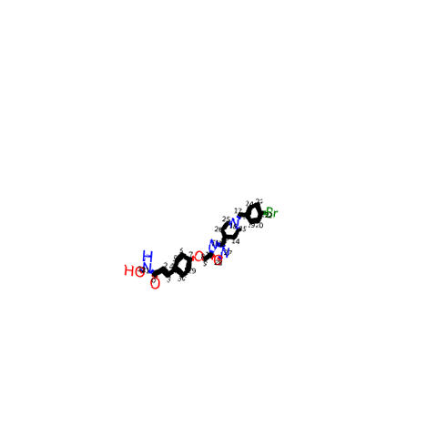 O=C(C=Cc1ccc(OCc2nc(C3CCN(Cc4ccc(Br)cc4)CC3)no2)cc1)NO